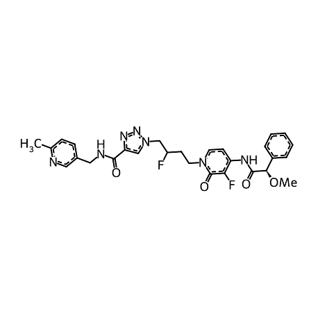 CO[C@@H](C(=O)Nc1ccn(CCC(F)Cn2cc(C(=O)NCc3ccc(C)nc3)nn2)c(=O)c1F)c1ccccc1